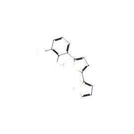 CCc1cccc(-c2ccc(-c3cccs3)s2)c1C